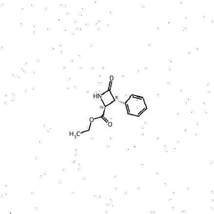 CCOC(=O)[C@H]1NC(=O)[C@@H]1c1ccccc1